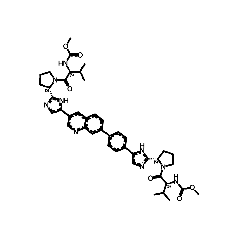 COC(=O)N[C@H](C(=O)N1CCC[C@H]1c1ncc(-c2ccc(-c3ccc4cc(-c5cnc([C@@H]6CCCN6C(=O)[C@@H](NC(=O)OC)C(C)C)[nH]5)cnc4c3)cc2)[nH]1)C(C)C